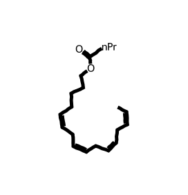 C/C=C\C/C=C\C/C=C\C/C=C\CCCCOC(=O)CCC